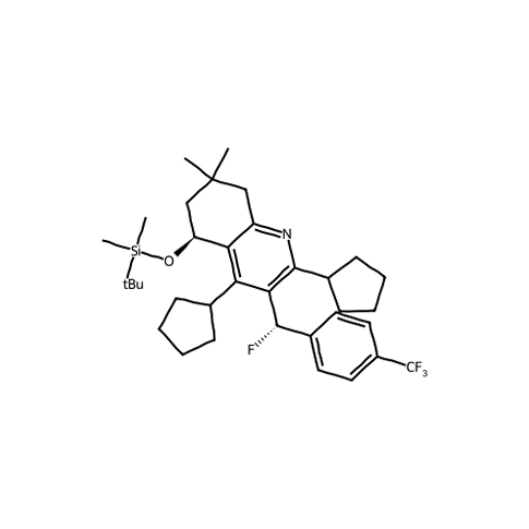 CC1(C)Cc2nc(C3CCCC3)c([C@@H](F)c3ccc(C(F)(F)F)cc3)c(C3CCCC3)c2[C@@H](O[Si](C)(C)C(C)(C)C)C1